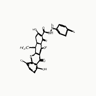 CC1C2Sc3c(Cl)ccc(O)c3C(=O)C2=C(O)C2C(=O)C(C(=O)NNC3=CCC(=S)C=C3)=C(O)CC21